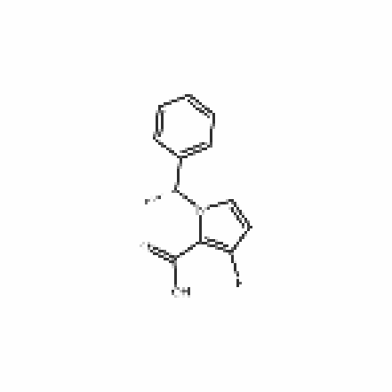 C[C@H](c1ccccc1)n1ccc(F)c1C(=O)O